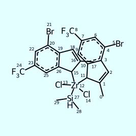 CC1=Cc2c(Br)cc(C(F)(F)F)cc2[CH]1[Zr]([Cl])([Cl])([CH]1C(C)=Cc2c(Br)cc(C(F)(F)F)cc21)[SiH](C)C